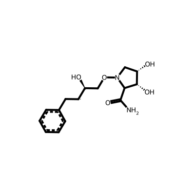 NC(=O)C1[C@@H](O)[C@@H](O)CN1OC[C@H](O)[CH]Cc1ccccc1